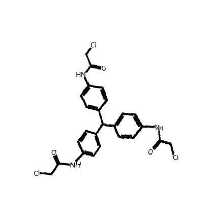 O=C(CCl)Nc1ccc(C(c2ccc(NC(=O)CCl)cc2)c2ccc(NC(=O)CCl)cc2)cc1